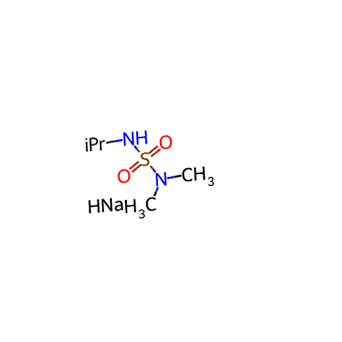 CC(C)NS(=O)(=O)N(C)C.[NaH]